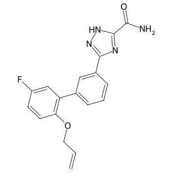 C=CCOc1ccc(F)cc1-c1cccc(-c2n[nH]c(C(N)=O)n2)c1